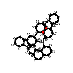 c1ccc(-c2nc3ccc4cccc(N(c5ccc6c(c5)sc5ccccc56)c5ccccc5-c5ccccc5)c4c3o2)cc1